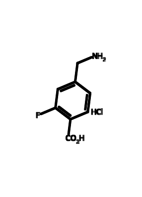 Cl.NCc1ccc(C(=O)O)c(F)c1